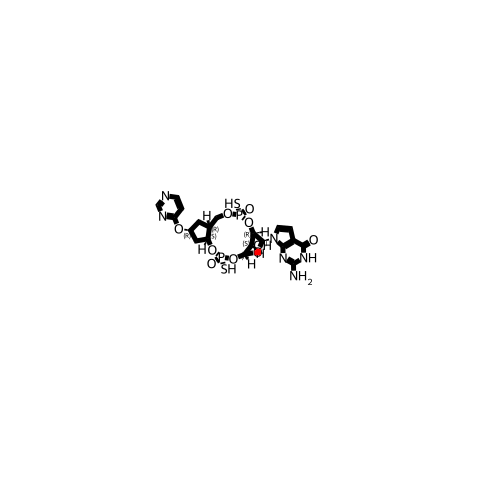 Nc1nc2c(ccn2[C@@H]2O[C@@H]3OP(=O)(S)O[C@H]4C[C@H](Oc5ccncn5)C[C@@H]4COP(=O)(S)O[C@@H]2[C@@H]3O)c(=O)[nH]1